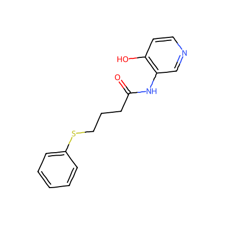 O=C(CCCSc1ccccc1)Nc1cnccc1O